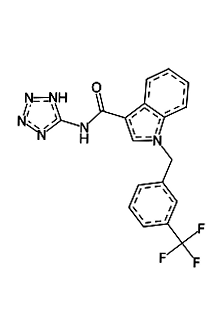 O=C(Nc1nnn[nH]1)c1cn(Cc2cccc(C(F)(F)F)c2)c2ccccc12